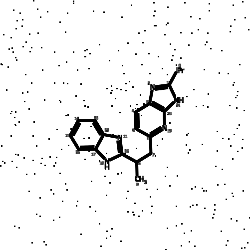 CC(C)c1nc2ccc(CC(C)c3nc4ccccc4[nH]3)nc2[nH]1